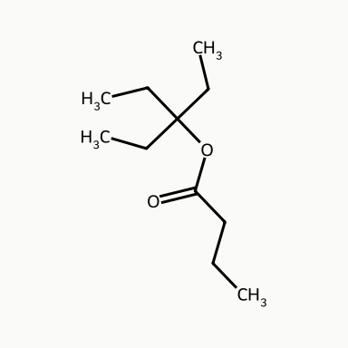 CCCC(=O)OC(CC)(CC)CC